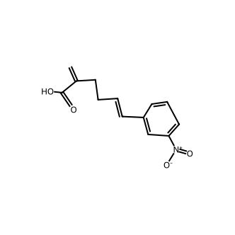 C=C(CCC=Cc1cccc([N+](=O)[O-])c1)C(=O)O